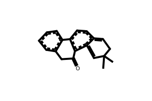 CC1(C)C=c2c3c(ccc2=CC1)-c1ccccc1CC3=O